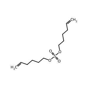 C=CCCCCOS(=O)(=O)OCCCCC=C